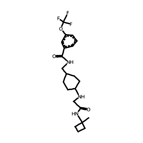 CC1(NC(=O)CNC2CCC(CNC(=O)c3cccc(OC(F)(F)F)c3)CC2)CCC1